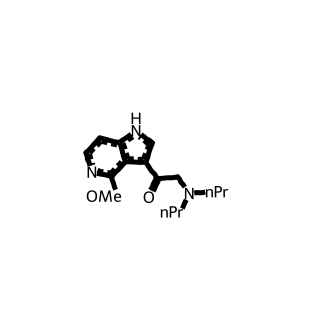 CCCN(CCC)CC(=O)c1c[nH]c2ccnc(OC)c12